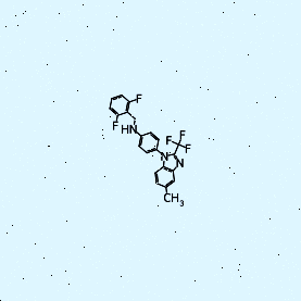 Cc1ccc2c(c1)nc(C(F)(F)F)n2-c1ccc(NCc2c(F)cccc2F)cc1